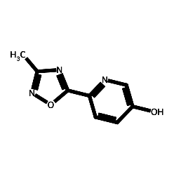 Cc1noc(-c2ccc(O)cn2)n1